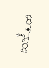 CC(C)(C)OC(=O)N(CCCNCc1ccc2occc2c1)Cc1ccc2c(c1)OCO2